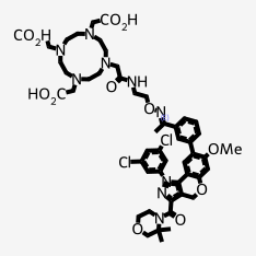 COc1cc2c(cc1-c1cccc(/C(C)=N/OCCNC(=O)CN3CCN(CC(=O)O)CCN(CC(=O)O)CCN(CC(=O)O)CC3)c1)-c1c(c(C(=O)N3CCOCC3(C)C)nn1-c1cc(Cl)cc(Cl)c1)CO2